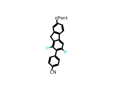 CCCCCc1ccc2c(c1)Cc1c-2cc(F)c(-c2ccc(C#N)cc2)c1F